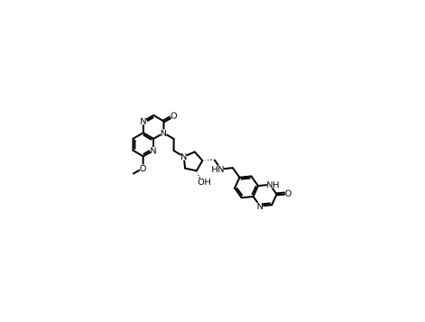 COc1ccc2ncc(=O)n(CCN3C[C@H](CNCc4ccc5ncc(=O)[nH]c5c4)[C@H](O)C3)c2n1